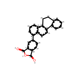 O=C1OC(=O)c2cc(-c3cccc4c5c(ccc34)-c3ccccc3CC5)ccc21